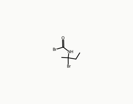 CCC(C)(Br)NC(=O)Br